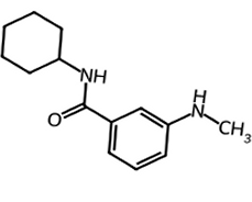 CNc1cccc(C(=O)NC2CCCCC2)c1